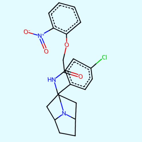 O=C(COc1ccccc1[N+](=O)[O-])NC1CC2CCC(C1)N2Cc1ccc(Cl)cc1